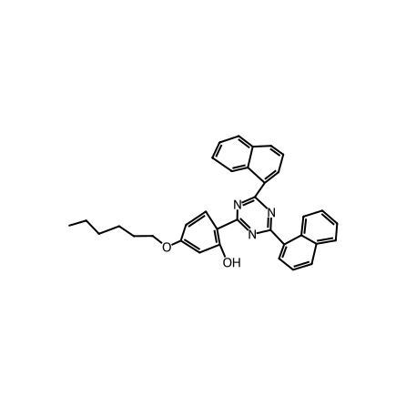 CCCCCCOc1ccc(-c2nc(-c3cccc4ccccc34)nc(-c3cccc4ccccc34)n2)c(O)c1